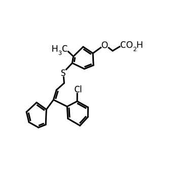 Cc1cc(OCC(=O)O)ccc1SC/C=C(/c1ccccc1)c1ccccc1Cl